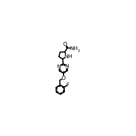 NC(=O)C1CCC(c2ncc(OCc3ccccc3F)cn2)N1